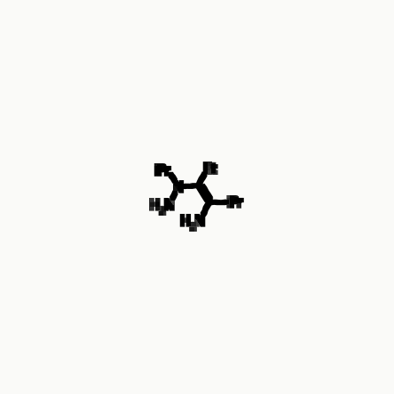 CC/C(=C(/N)C(C)C)N(N)C(C)C